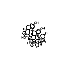 CC(=O)[C@H]1CC[C@H]2[C@@H]3CCC4=CC(=O)CC[C@]4(C)[C@H]3CC[C@]12C.C[C@]12CC[C@@H]3c4ccc(O)cc4CC[C@H]3[C@@H]1CC[C@@H]2O.C[C@]12CC[C@@H]3c4ccc(O)cc4CC[C@H]3[C@@H]1CC[C@@H]2O